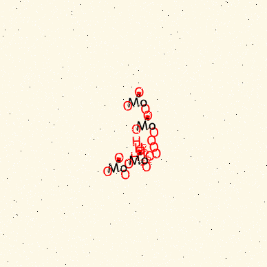 O.O.O.O.[O]=[Mo](=[O])=[O].[O]=[Mo](=[O])=[O].[O]=[Mo](=[O])=[O].[O]=[Mo](=[O])=[O]